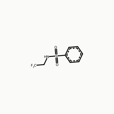 O=S(=O)(NCC(F)(F)F)c1ccccc1